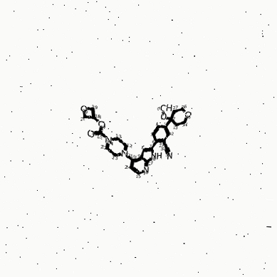 COC1(c2ccc(-c3cc4c(N5CCN(C(=O)OC6COC6)CC5)ccnc4[nH]3)c(C#N)c2)CCOCC1